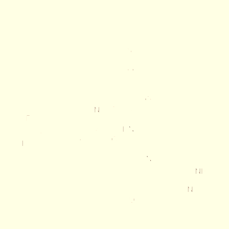 COc1ccc(C2(C(=O)N(C)[C@@H](C(=O)Nc3ccc4[nH]ncc4n3)[C@H](C)O[Si](C)(C)C(C)(C)C)CCC(F)(F)CC2)cc1